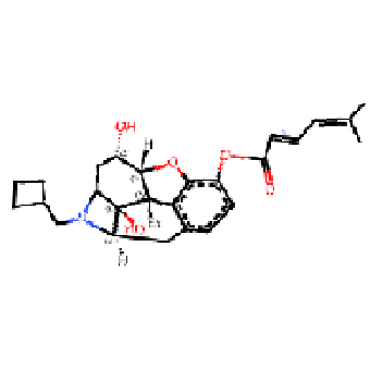 CC[C@]12c3c4ccc(OC(=O)/C=C/C=C(C)C)c3O[C@H]1[C@@H](O)CC1N(CC3CCC3)[C@H](C4)[C@]12O